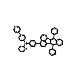 c1ccc(-c2c3c(c(-c4ccccc4)c4ccccc24)-c2ccc(-c4ccc(N(c5ccc(-c6ccncc6)cc5)c5ccccn5)cc4)c4cccc-3c24)cc1